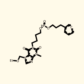 CCOCn1cnc2c1c(=O)n(CCCCO[PH](=O)OCCCc1ccccc1)c(=O)n2C